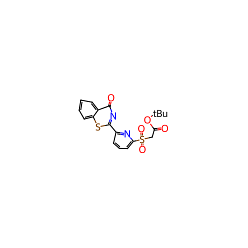 CC(C)(C)OC(=O)CS(=O)(=O)c1cccc(-c2nc(=O)c3ccccc3s2)n1